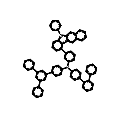 c1ccc(-c2cc(-c3ccccc3)cc(-c3ccc(N(c4ccc(-c5ccccc5-c5ccccc5)cc4)c4cccc(-c5cccc6c5c5cc7ccccc7cc5n6-c5ccccc5)c4)cc3)c2)cc1